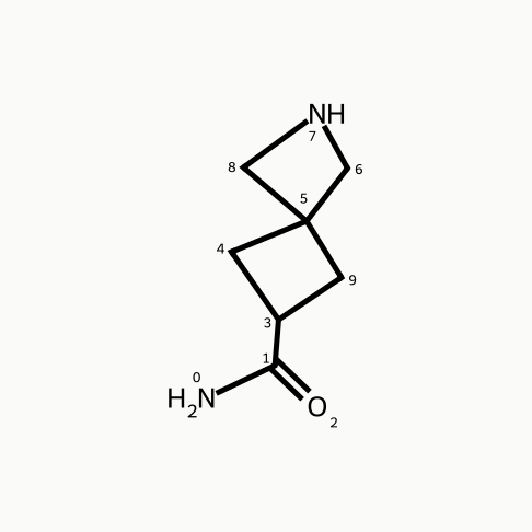 NC(=O)C1CC2(CNC2)C1